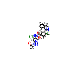 CCC(=O)Nc1cc(Cl)c(NS(=O)(=O)c2ccc(Cl)c(-c3nccc4ccccc34)c2)cn1